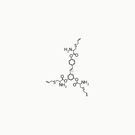 C=CCSCC(N)C(=O)Oc1ccc(/C=C/c2cc(OC(=O)C(N)CSCC=C)cc(OC(=O)C(N)CSCC=C)c2)cc1